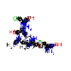 CC(C)c1ccc(Cc2cnc(N)nc2N2CCN(C)CC2)cc1.CN1CCN(c2nc(N)ncc2Cc2ccc(O)cc2)CC1.COc1ccc(Cc2cnc(N)nc2N2CCN(C)CC2)cc1.Nc1ncc(Cc2ccc(Cl)cc2)c(N2CCC(O)CC2)n1.Nc1ncc(Cc2ccc(Cl)cc2)c(N2CCN(CCO)CC2)n1